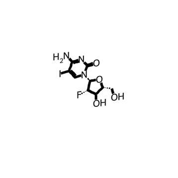 Nc1nc(=O)n([C@@H]2O[C@H](CO)C(O)[C@@H]2F)cc1I